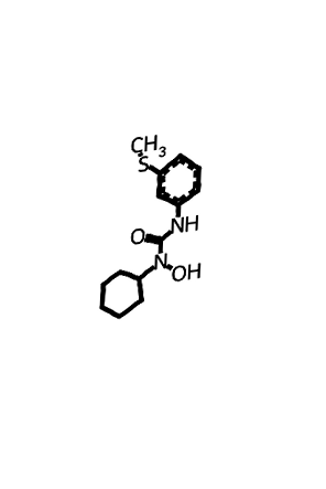 CSc1cccc(NC(=O)N(O)C2CCCCC2)c1